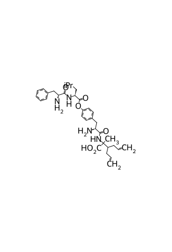 C=CCC(CC=C)C(C)(NC(=O)[C@@H](N)Cc1ccc(OC(=O)[C@H](CC(C)C)NC(=O)[C@@H](N)Cc2ccccc2)cc1)C(=O)O